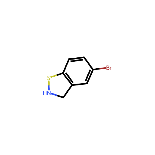 Brc1ccc2c(c1)CNS2